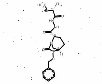 C[C@@H](NC(=O)O)C(=O)NNC(=O)[C@@H]1CC[C@@H]2CN1C(=O)N2OCc1ccccc1